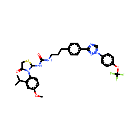 COc1ccc(N2C(=O)CSC2NC(=O)NCCCc2ccc(-c3ncn(-c4ccc(OC(F)(F)F)cc4)n3)cc2)c(C(C)C)c1